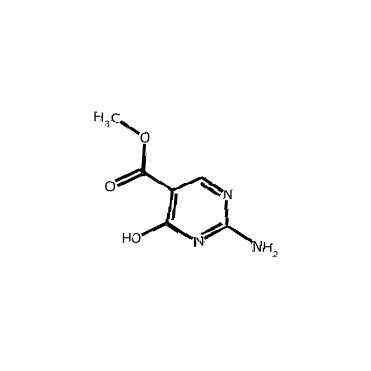 COC(=O)c1cnc(N)nc1O